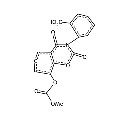 COC(=O)Oc1cccc2c(=O)n(-c3ccccc3C(=O)O)c(=O)oc12